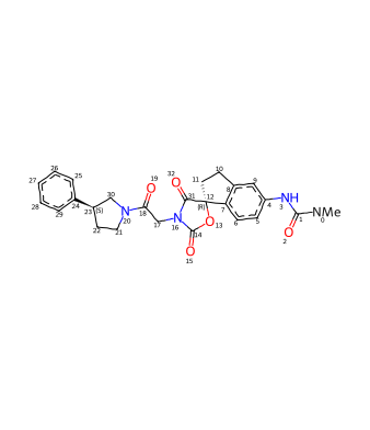 CNC(=O)Nc1ccc2c(c1)CC[C@@]21OC(=O)N(CC(=O)N2CC[C@@H](c3ccccc3)C2)C1=O